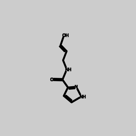 O=C(NCC=CO)c1cc[nH]n1